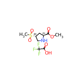 COC(=O)[C@@H]1C[C@@H](S(C)(=O)=O)CN1.O=C(O)C(F)(F)F